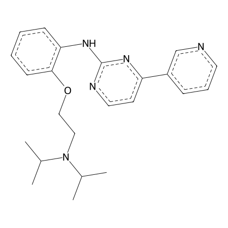 CC(C)N(CCOc1ccccc1Nc1nccc(-c2cccnc2)n1)C(C)C